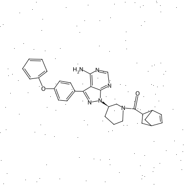 Nc1ncnc2c1c(-c1ccc(Oc3ccccc3)cc1)nn2[C@@H]1CCCN(C(=O)C2CC3C=CC2C3)C1